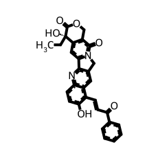 CC[C@@]1(O)C(=O)OCc2c1cc1n(c2=O)Cc2cc3c(C=CC(=O)c4ccccc4)c(O)ccc3nc2-1